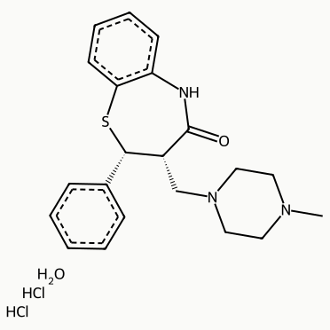 CN1CCN(C[C@H]2C(=O)Nc3ccccc3S[C@H]2c2ccccc2)CC1.Cl.Cl.O